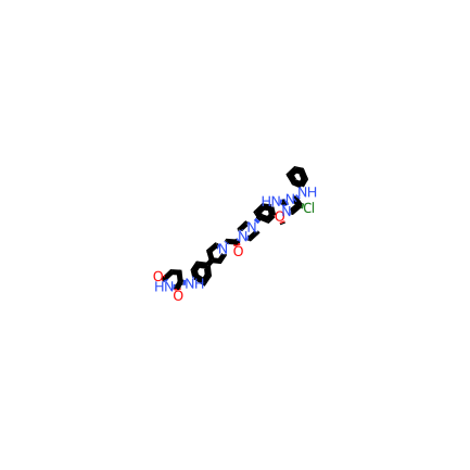 COc1cc(N2CCN(C(=O)CN3CCC(c4ccc(NC5CCC(=O)NC5=O)cc4)CC3)CC2)ccc1Nc1ncc(Cl)c(Nc2ccccc2)n1